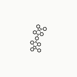 c1ccc(-n2c3c(c4ccccc42)-c2ccccc2N(c2ccc(N4c5ccccc5-c5c(n(-c6ccccc6)c6ccccc56)-c5ccccc54)cc2)c2ccccc2-3)cc1